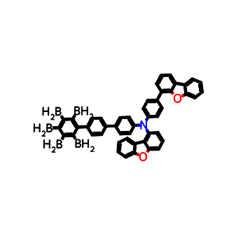 Bc1c(B)c(B)c(-c2ccc(-c3ccc(N(c4ccc(-c5cccc6c5oc5ccccc56)cc4)c4cccc5oc6ccccc6c45)cc3)cc2)c(B)c1B